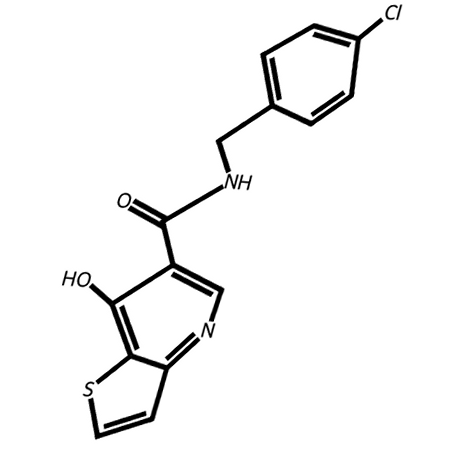 O=C(NCc1ccc(Cl)cc1)c1cnc2ccsc2c1O